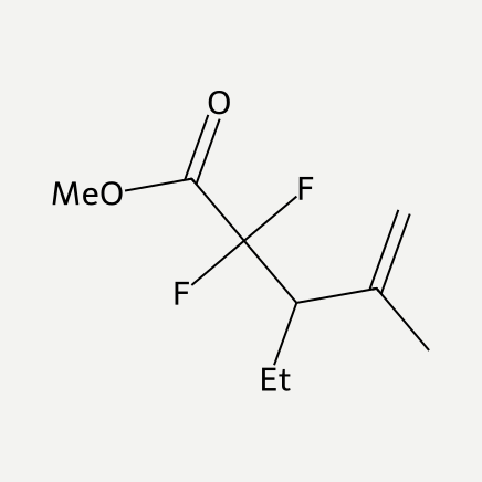 C=C(C)C(CC)C(F)(F)C(=O)OC